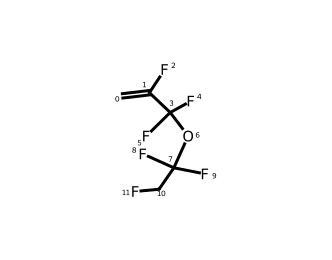 C=C(F)C(F)(F)OC(F)(F)CF